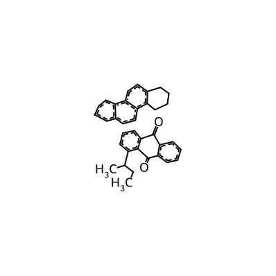 CCC(C)c1cccc2c1C(=O)c1ccccc1C2=O.c1ccc2c(c1)ccc1c3c(ccc12)CCCC3